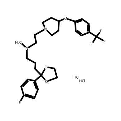 CN(CCCC1(c2ccc(F)cc2)OCCO1)CCN1CCC(Oc2ccc(C(F)(F)F)cc2)CC1.Cl.Cl